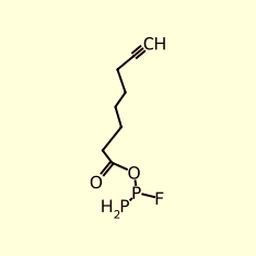 C#CCCCCCC(=O)OP(F)P